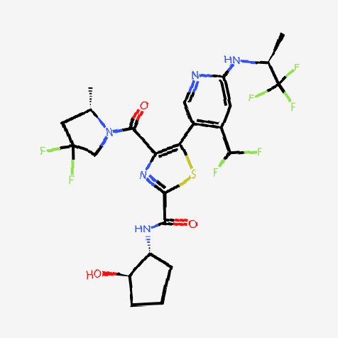 C[C@H](Nc1cc(C(F)F)c(-c2sc(C(=O)N[C@@H]3CCC[C@H]3O)nc2C(=O)N2CC(F)(F)C[C@@H]2C)cn1)C(F)(F)F